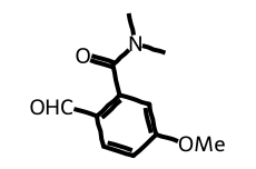 COc1ccc(C=O)c(C(=O)N(C)C)c1